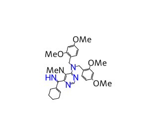 CNc1c(C(=N)C2=CCCCC2)ncnc1N(Cc1ccc(OC)cc1OC)Cc1ccc(OC)cc1OC